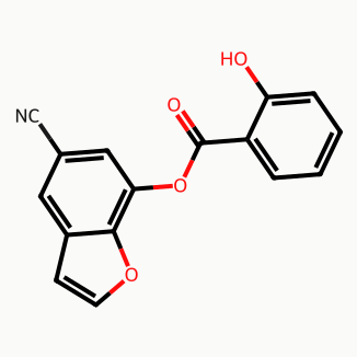 N#Cc1cc(OC(=O)c2ccccc2O)c2occc2c1